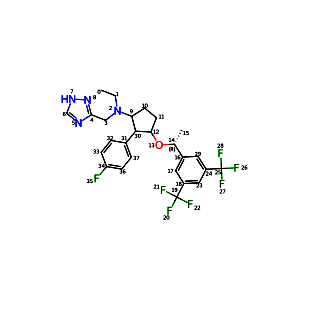 CCN(Cc1nc[nH]n1)C1CCC(O[C@H](C)c2cc(C(F)(F)F)cc(C(F)(F)F)c2)C1c1ccc(F)cc1